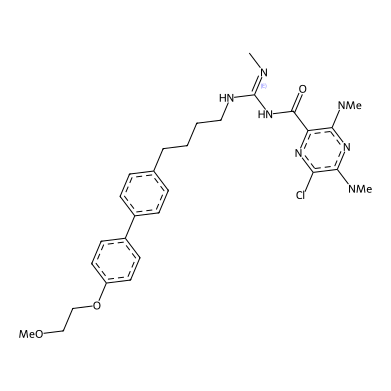 C/N=C(\NCCCCc1ccc(-c2ccc(OCCOC)cc2)cc1)NC(=O)c1nc(Cl)c(NC)nc1NC